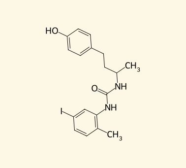 Cc1ccc(I)cc1NC(=O)NC(C)CCc1ccc(O)cc1